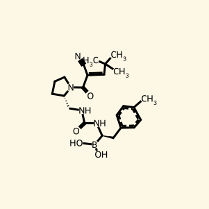 Cc1ccc(C[C@H](NC(=O)NC[C@@H]2CCCN2C(=O)C(C#N)=CC(C)(C)C)B(O)O)cc1